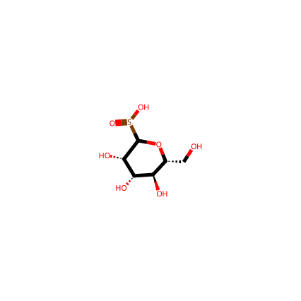 O=S(O)C1O[C@H](CO)[C@@H](O)[C@H](O)[C@@H]1O